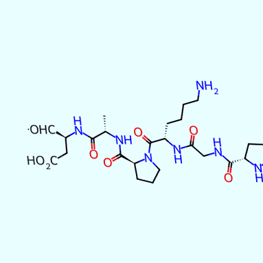 C[C@H](NC(=O)[C@@H]1CCCN1C(=O)[C@H](CCCCN)NC(=O)CNC(=O)[C@@H]1CCCN1)C(=O)N[C@H]([C]=O)CC(=O)O